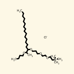 CCCCCCCCCCCCCCCC(OCCCOCCOCC[N+](C)(C)C)C(C)OCCCC.[Cl-]